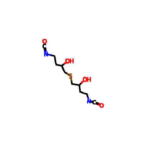 O=C=NCCC(O)CSCC(O)CCN=C=O